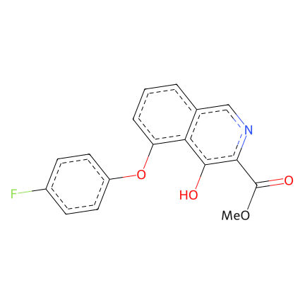 COC(=O)c1ncc2cccc(Oc3ccc(F)cc3)c2c1O